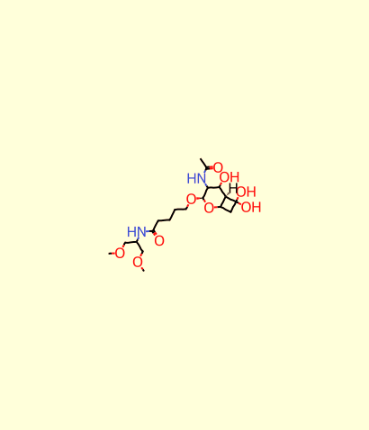 COCC(COC)NC(=O)CCCCO[C@@H]1OC2CC(O)(O)[C@@H]2C(O)C1NC(C)=O